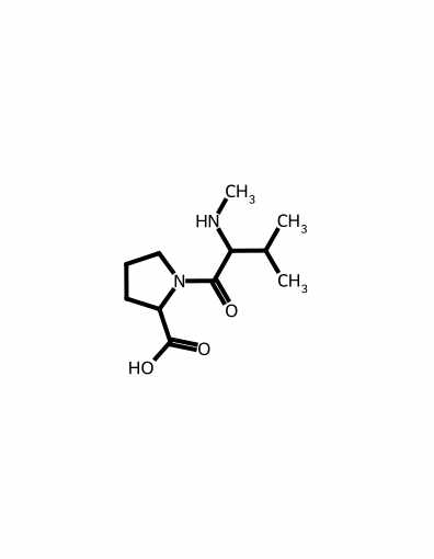 CNC(C(=O)N1CCCC1C(=O)O)C(C)C